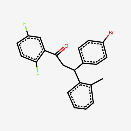 Cc1ccccc1C(CC(=O)c1cc(F)ccc1F)c1ccc(Br)cc1